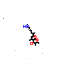 CCC(C)C(=O)c1c(C)cc(C(C)CC/C=C/NC)oc1=O